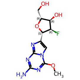 COc1nc(N)nc2nc([C@@H]3O[C@H](CO)[C@@H](O)[C@H]3F)cn12